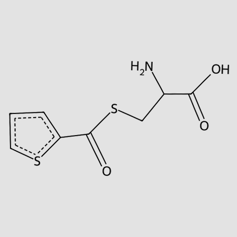 NC(CSC(=O)c1cccs1)C(=O)O